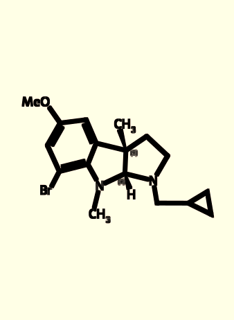 COc1cc(Br)c2c(c1)[C@]1(C)CCN(CC3CC3)[C@@H]1N2C